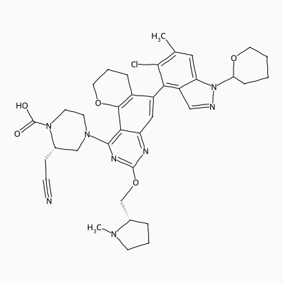 Cc1cc2c(cnn2C2CCCCO2)c(-c2cc3nc(OC[C@@H]4CCCN4C)nc(N4CCN(C(=O)O)[C@@H](CC#N)C4)c3c3c2CCCO3)c1Cl